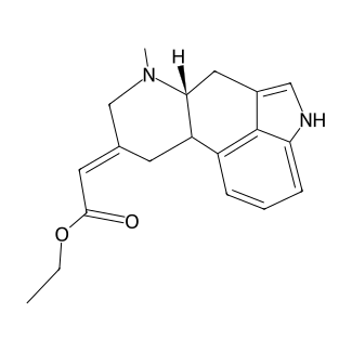 CCOC(=O)/C=C1\CC2c3cccc4[nH]cc(c34)C[C@H]2N(C)C1